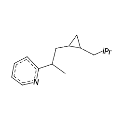 CC(C)CC1CC1CC(C)c1ccccn1